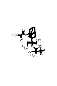 C=C(C)C(=O)OC12CC3CC(C1)CC(C(CC)(CC)OC(C)C(C)(O)C(F)(F)F)(C3)C2